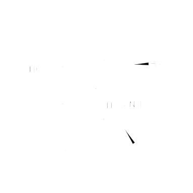 C[C@H](NC1[C@@H]2CC3C[C@H]1CC(O)(C3)C2)c1ccccc1